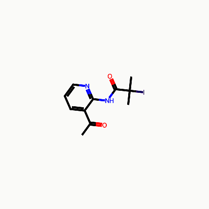 CC(=O)c1cccnc1NC(=O)C(C)(C)I